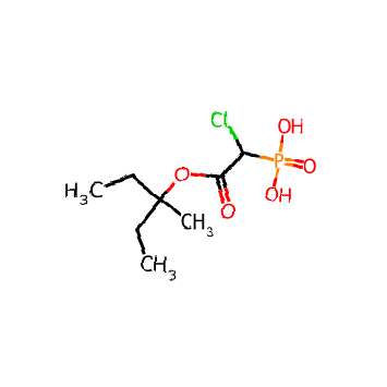 CCC(C)(CC)OC(=O)C(Cl)P(=O)(O)O